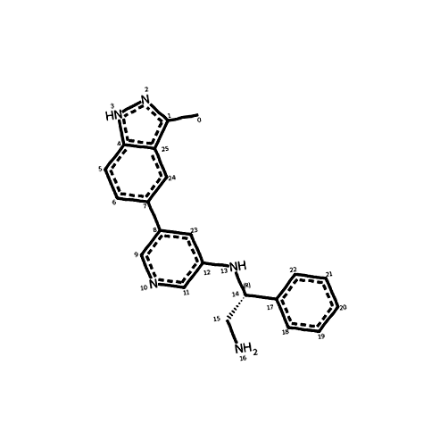 Cc1n[nH]c2ccc(-c3cncc(N[C@@H](CN)c4ccccc4)c3)cc12